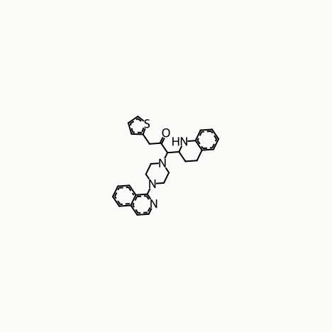 O=C(Cc1cccs1)C(C1CCc2ccccc2N1)N1CCN(c2nccc3ccccc23)CC1